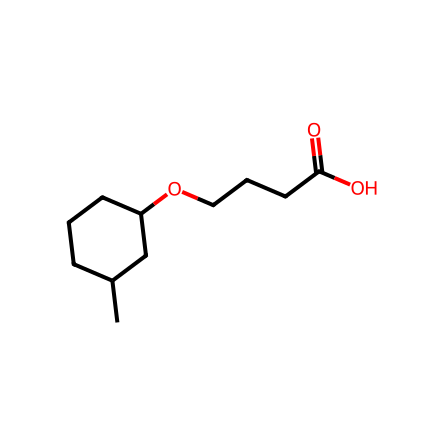 CC1CCCC(OCCCC(=O)O)C1